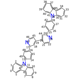 c1ccc2c(c1)c1ccccc1n2-c1ccc(-c2cc(-c3ccnc(-c4ccc(-n5c6ccccc6c6ccccc65)cc4)c3)ccn2)cc1